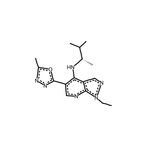 CCn1ncc2c(N[C@@H](C)C(C)C)c(-c3nnc(C)o3)cnc21